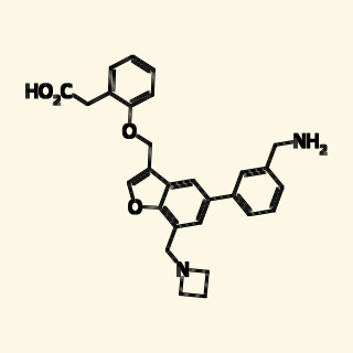 NCc1cccc(-c2cc(CN3CCC3)c3occ(COc4ccccc4CC(=O)O)c3c2)c1